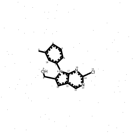 Cc1cccc(-n2c(CO)cc3cnc(Cl)nc32)c1